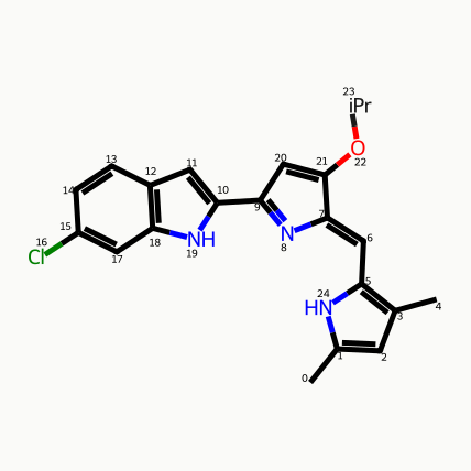 Cc1cc(C)c(C=C2N=C(c3cc4ccc(Cl)cc4[nH]3)C=C2OC(C)C)[nH]1